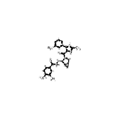 Cc1cccc(-c2sc(C)nc2C(=O)N2CC3CC3C2CNC(=O)c2ccc(C)c(C)c2)c1